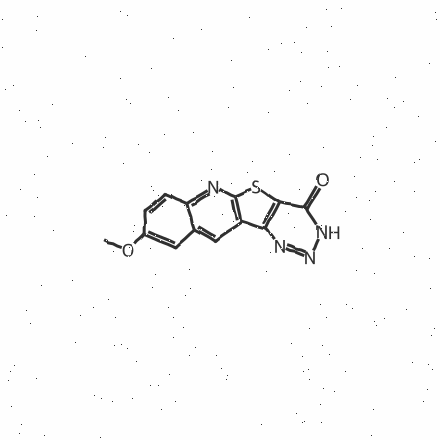 COc1ccc2nc3sc4c(=O)[nH]nnc4c3cc2c1